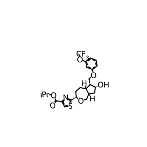 CC(C)OC(=O)c1csc([C@H]2CC[C@H]3[C@@H](CO2)C[C@@H](O)[C@@H]3COc2cccc(OC(F)(F)F)c2)n1